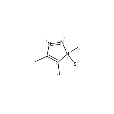 CC1=C(C)[N+](C)([S-])N=N1